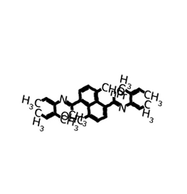 C\C=C(C)/C(=C\C)/N=C(\C)c1ccc(C=O)c2c(/C(CCC)=N/C(=C/C)C(/C)=C\C)ccc(C=O)c12